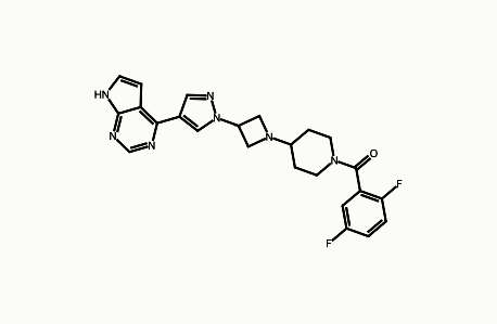 O=C(c1cc(F)ccc1F)N1CCC(N2C[C](n3cc(-c4ncnc5[nH]ccc45)cn3)C2)CC1